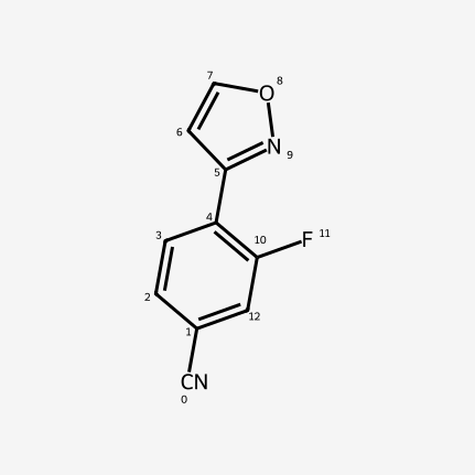 N#Cc1ccc(-c2ccon2)c(F)c1